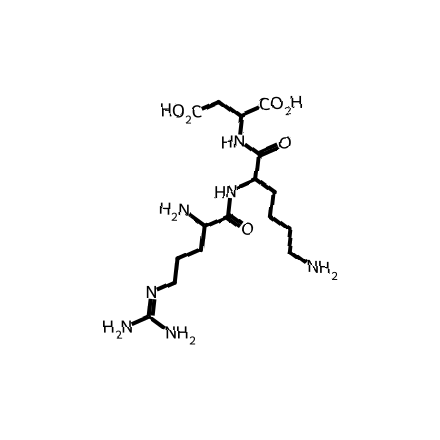 NCCCCC(NC(=O)C(N)CCCN=C(N)N)C(=O)NC(CC(=O)O)C(=O)O